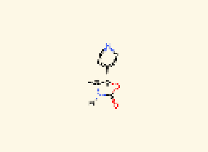 CCN1C(=O)O[C@H](c2ccncc2)[C@@H]1C